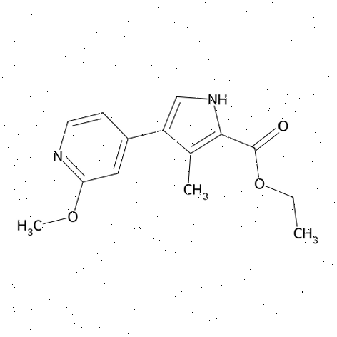 CCOC(=O)c1[nH]cc(-c2ccnc(OC)c2)c1C